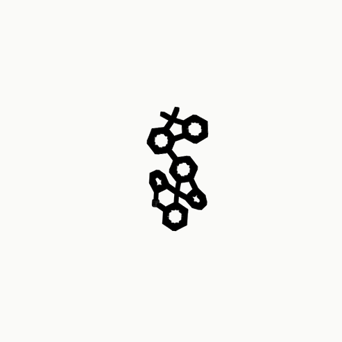 CC1(C)c2ccccc2-c2c(-c3ccc4c(c3)C3(c5ccccc5Oc5ccccc53)c3ccccc3-4)cccc21